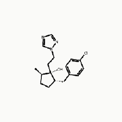 C[C@@H]1CC[C@@H](Cc2ccc(Cl)cc2)[C@]1(O)CCn1cncn1